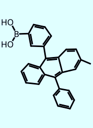 Cc1ccc2c(-c3cccc(B(O)O)c3)c3ccccc3c(-c3ccccc3)c2c1